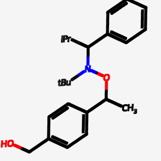 CC(ON(C(c1ccccc1)C(C)C)C(C)(C)C)c1ccc(CO)cc1